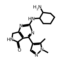 Cc1c(-c2nc(NC3CCCCC3N)nc3c2C(=O)NC3)cnn1C